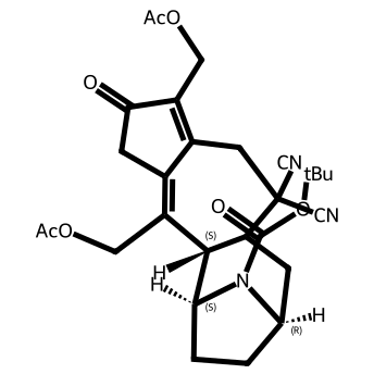 CC(=O)OCC1=C2CC(C#N)(C#N)C3C[C@H]4CC[C@@H]([C@@H]3C(COC(C)=O)=C2CC1=O)N4C(=O)OC(C)(C)C